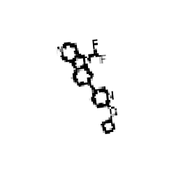 FC(F)n1c2ccncc2c2ccc(-c3ccc(OC4CCC4)nc3)cc21